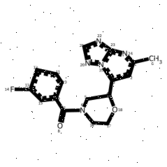 Cc1cc(C2CN(C(=O)c3cccc(F)c3)CCO2)n2ncnc2n1